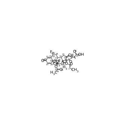 CCC(=O)O[C@]1(C(=O)SCC(=O)O)[C@H](C)CC2C3C[C@H](F)C4=CC(=O)C=C[C@]4(C)[C@@]3(F)[C@@H](OC(C)=O)C[C@@]21C